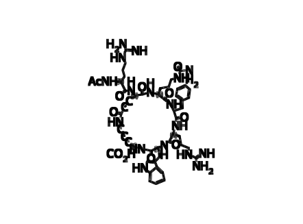 CC(=O)N[C@@H](CCCNC(=N)N)C(=O)N[C@H]1CCC(=O)NCCC[C@@H](C(=O)O)NC(=O)[C@H](Cc2c[nH]c3ccccc23)NC(=O)[C@H](CCCNC(=N)N)NC(=O)C(Cc2ccccc2)NC(=O)[C@H](CCCNC(N)=O)NC1=O